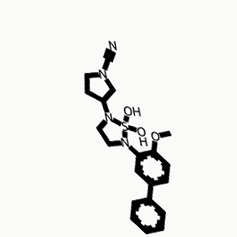 COc1ccc(-c2ccccc2)cc1N1CCN(C2CCN(C#N)C2)S1(O)O